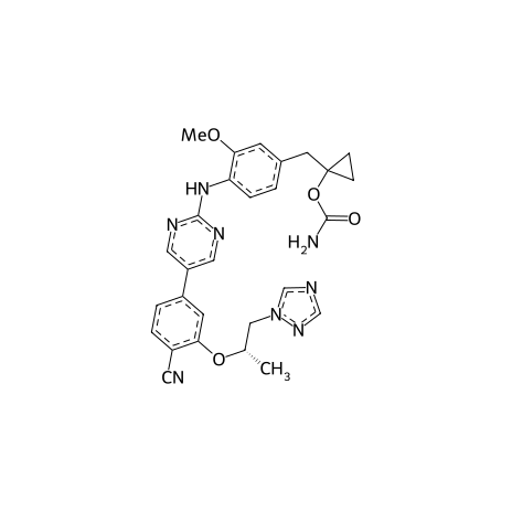 COc1cc(CC2(OC(N)=O)CC2)ccc1Nc1ncc(-c2ccc(C#N)c(O[C@@H](C)Cn3cncn3)c2)cn1